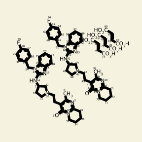 Cc1nc2n(c(=O)c1CCN1CCC(Nc3nc4ccccc4n3Cc3ccc(F)cc3)C1)CCCC2.Cc1nc2n(c(=O)c1CCN1CCC(Nc3nc4ccccc4n3Cc3ccc(F)cc3)C1)CCCC2.O=C(O)C=CC(=O)O.O=C(O)C=CC(=O)O.O=C(O)C=CC(=O)O